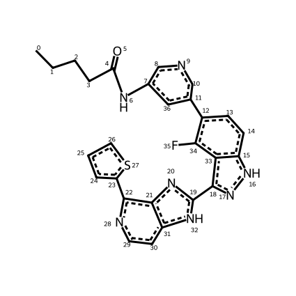 CCCCC(=O)Nc1cncc(-c2ccc3[nH]nc(-c4nc5c(-c6cccs6)nccc5[nH]4)c3c2F)c1